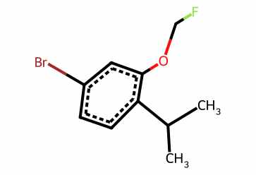 CC(C)c1ccc(Br)cc1OCF